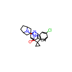 N#Cc1ccc(N2C3CCC2CC(NC(=O)C2(c4ccc(Cl)cc4)CC2)C3)nc1